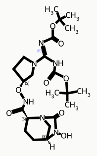 CC(C)(C)OC(=O)/N=C(\NC(=O)OC(C)(C)C)N1CC[C@H](ONC(=O)[C@@H]2CC[C@H]3CN2C(=O)N3O)C1